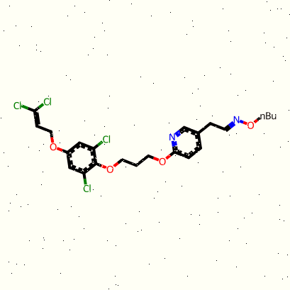 CCCCON=CCc1ccc(OCCCOc2c(Cl)cc(OCC=C(Cl)Cl)cc2Cl)nc1